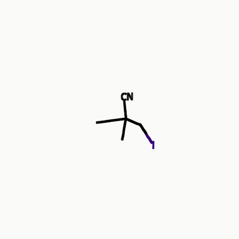 CC(C)(C#N)CI